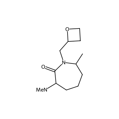 CNC1CCCC(C)N(CC2CCO2)C1=O